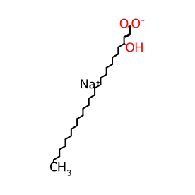 CCCCCCCCCCCCCCCCCCCCCCCCC(O)C=CC(=O)[O-].[Na+]